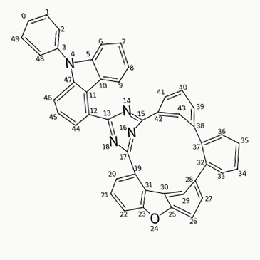 c1ccc(-n2c3ccccc3c3c(-c4nc5nc(n4)c4cccc6oc7ccc(cc7c64)c4ccccc4c4cccc5c4)cccc32)cc1